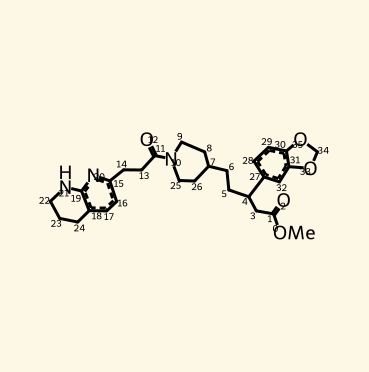 COC(=O)CC(CCC1CCN(C(=O)CCc2ccc3c(n2)NCCC3)CC1)c1ccc2c(c1)OCO2